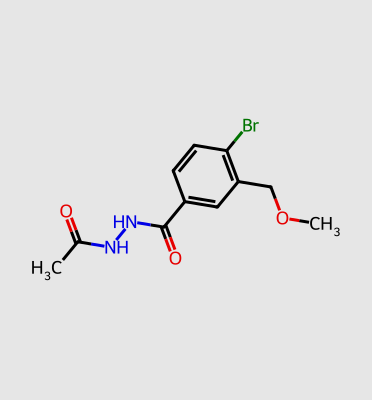 COCc1cc(C(=O)NNC(C)=O)ccc1Br